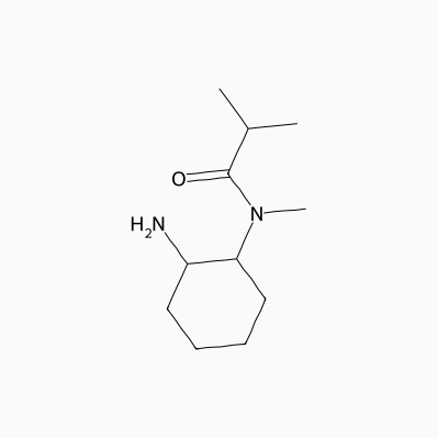 CC(C)C(=O)N(C)C1CCCCC1N